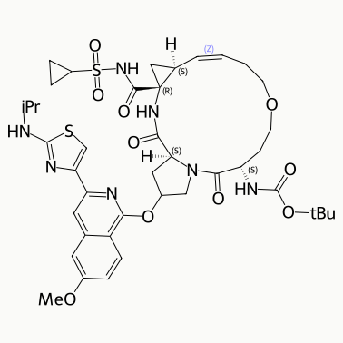 COc1ccc2c(OC3C[C@H]4C(=O)N[C@]5(C(=O)NS(=O)(=O)C6CC6)C[C@H]5/C=C\CCOCC[C@H](NC(=O)OC(C)(C)C)C(=O)N4C3)nc(-c3csc(NC(C)C)n3)cc2c1